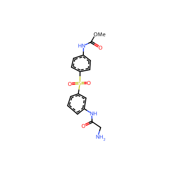 COC(=O)Nc1ccc(S(=O)(=O)c2cccc(NC(=O)CN)c2)cc1